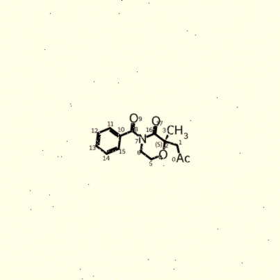 CC(=O)C[C@]1(C)OCCN(C(=O)c2ccccc2)C1=O